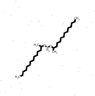 CCCCCCCCCCCCC(C)O[SiH2]OC(C)CCCCCCCCCCCC